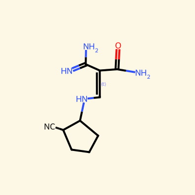 N#CC1CCCC1N/C=C(\C(=N)N)C(N)=O